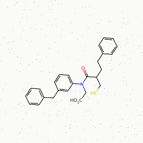 O=C(O)CN(C(=O)C(CS)CCc1ccccc1)c1cccc(Cc2ccccc2)c1